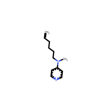 C=CCCCCN(C)c1ccncc1